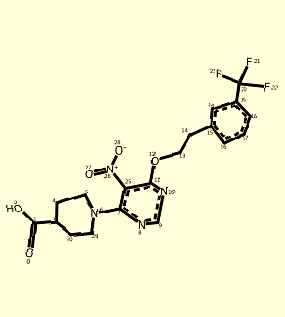 O=C(O)C1CCN(c2ncnc(OCCc3cccc(C(F)(F)F)c3)c2[N+](=O)[O-])CC1